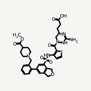 COC(=O)C1CCN(Cc2ccccc2-c2cc3c(c(S(=O)(=O)Nc4ccsc4C(=O)N(CCCCC(=O)O)NC(=N)N)c2)COC3)CC1